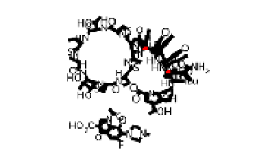 C=C(NC(=O)C(=C)NC(=O)c1csc(C2=NC3c4csc(n4)C4NC(=O)c5csc(n5)C(C(C)(O)C(C)O)NC(=O)C5CSC(=N5)/C(=C\C)NC(=O)C(C(C)O)NC(=O)c5csc(n5)C3(CC2)NC(=O)C(C)NC(=O)C(=C)NC(=O)C(C)NC(=O)C(C(C)CC)NC2C=Cc3c(C(C)O)cc(nc3C2O)C(=O)OC4C)n1)C(N)=O.CC1COc2c(N3CCN(C)CC3)c(F)cc3c(=O)c(C(=O)O)cn1c23